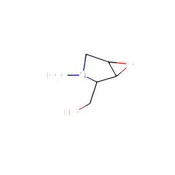 O=C(O)N1CC2OC2C1CO